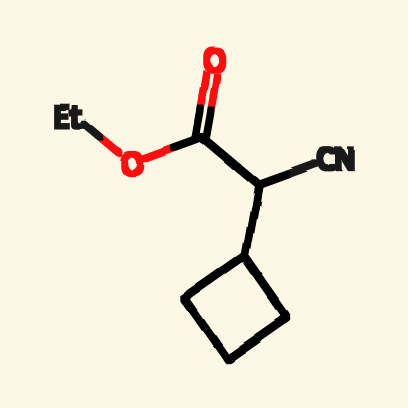 CCOC(=O)C(C#N)C1CCC1